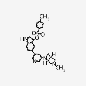 Cc1ccc(S(=O)(=O)Oc2c[nH]c3ccc(-c4cncc(N5C[C@@H]6CN(C)C[C@H]65)c4)cc23)cc1